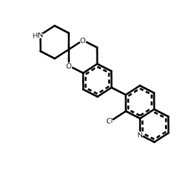 Clc1c(-c2ccc3c(c2)COC2(CCNCC2)O3)ccc2cccnc12